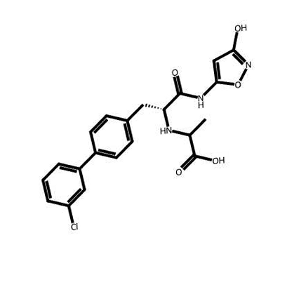 CC(N[C@H](Cc1ccc(-c2cccc(Cl)c2)cc1)C(=O)Nc1cc(O)no1)C(=O)O